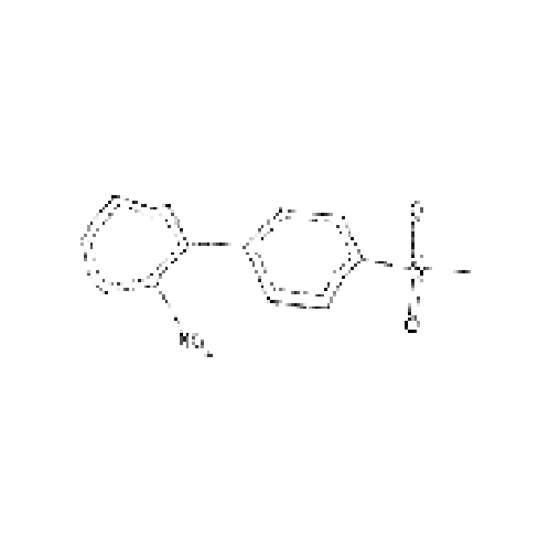 CS(=O)(=O)c1ccc(-c2ccccc2[N+](=O)[O-])cc1